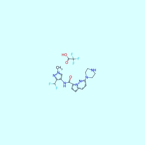 Cn1cc(NC(=O)c2ccc3ccc(N4CCNCC4)nn23)c(C(F)F)n1.O=C(O)C(F)(F)F